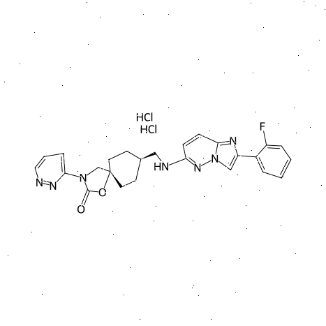 Cl.Cl.O=C1O[C@]2(CC[C@H](CNc3ccc4nc(-c5ccccc5F)cn4n3)CC2)CN1c1cccnn1